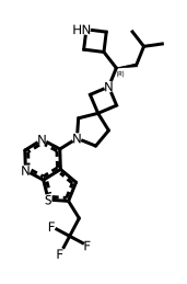 CC(C)C[C@H](C1CNC1)N1CC2(CCN(c3ncnc4sc(CC(F)(F)F)cc34)C2)C1